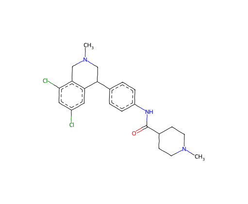 CN1CCC(C(=O)Nc2ccc(C3CN(C)Cc4c(Cl)cc(Cl)cc43)cc2)CC1